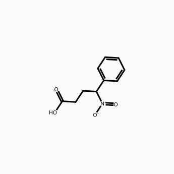 O=C(O)CCC(c1ccccc1)[N+](=O)[O-]